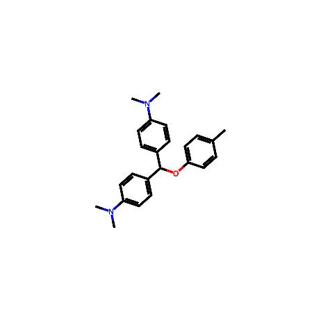 Cc1ccc(OC(c2ccc(N(C)C)cc2)c2ccc(N(C)C)cc2)cc1